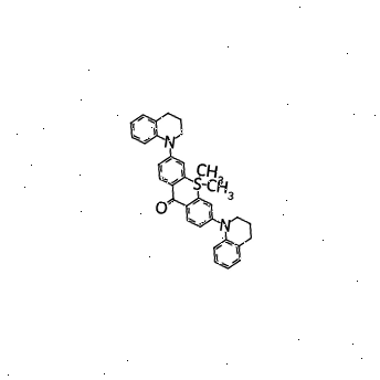 CS1(C)c2cc(N3CCCc4ccccc43)ccc2C(=O)c2ccc(N3CCCc4ccccc43)cc21